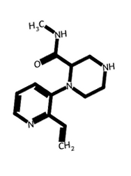 C=Cc1ncccc1N1CCNCC1C(=O)NC